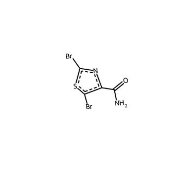 NC(=O)c1nc(Br)sc1Br